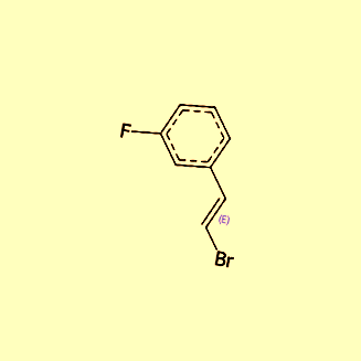 Fc1cccc(/C=C/Br)c1